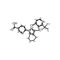 O=C(O)c1ccc(-n2nc(Cc3c(Cl)ccnc3C(F)(F)F)c3c2CCCC3)nc1